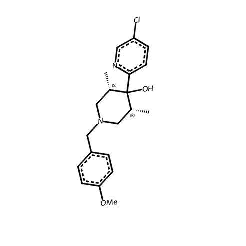 COc1ccc(CN2C[C@@H](C)C(O)(c3ccc(Cl)cn3)[C@@H](C)C2)cc1